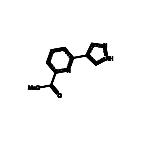 COC(=O)c1cccc(-c2cn[nH]c2)n1